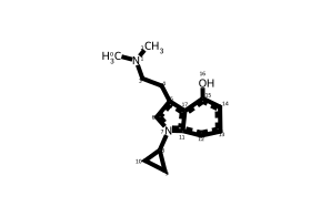 CN(C)CCc1cn(C2CC2)c2cccc(O)c12